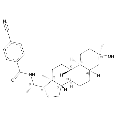 C[C@H](NC(=O)c1ccc(C#N)cc1)[C@H]1CC[C@H]2[C@@H]3CC[C@@H]4C[C@](C)(O)CC[C@@H]4[C@H]3CC[C@]12C